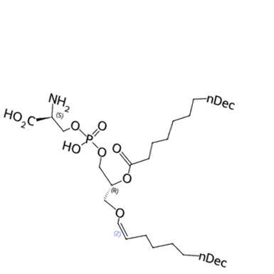 CCCCCCCCCCCCCC/C=C\OC[C@H](COP(=O)(O)OC[C@H](N)C(=O)O)OC(=O)CCCCCCCCCCCCCCCC